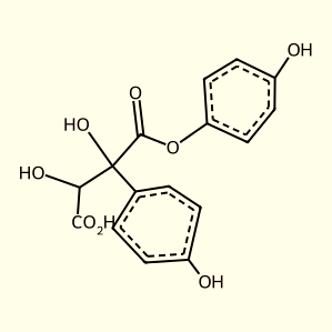 O=C(O)C(O)C(O)(C(=O)Oc1ccc(O)cc1)c1ccc(O)cc1